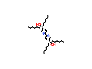 CCCCCC[Si](O)(CCCCCC)c1ccc(-c2ccc([Si](O)(CCCCCC)CCCCCC)cn2)nc1